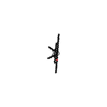 CCCCCCCCCCCCCCCCC=CC(OC(C=CCCCCCCCCCCCCCCCC)OC(OCCCCCCC)OCCCCCCC)OC(OCCCCCCC)OCCCCCCC